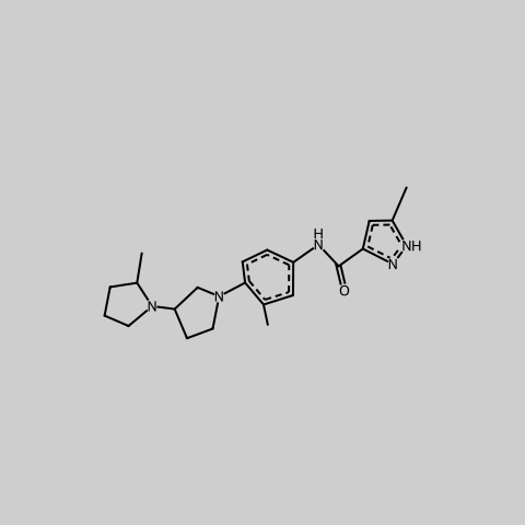 Cc1cc(C(=O)Nc2ccc(N3CCC(N4CCCC4C)C3)c(C)c2)n[nH]1